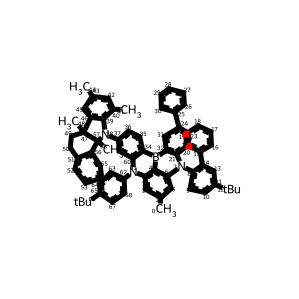 Cc1cc2c3c(c1)N(c1ccc(C(C)(C)C)cc1-c1ccccc1)c1ccc(-c4ccccc4)cc1B3c1ccc(N3c4c(C)cc(C)cc4C4(C)CCc5ccccc5C34C)cc1N2c1ccc(C(C)(C)C)cc1